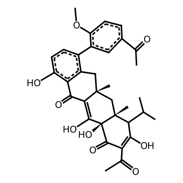 COc1ccc(C(C)=O)cc1-c1ccc(O)c2c1C[C@]1(C)C[C@]3(C)C(C(C)C)C(O)=C(C(C)=O)C(=O)[C@]3(O)C(O)=C1C2=O